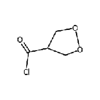 O=C(Cl)C1COOC1